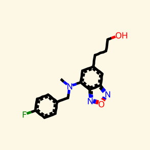 CN(Cc1ccc(F)cc1)c1cc(CCCO)cc2nonc12